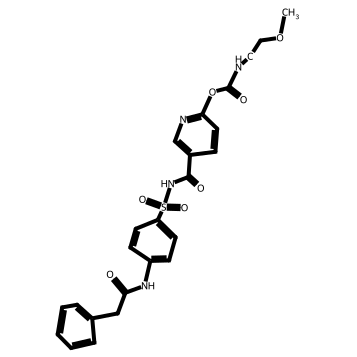 COCCNC(=O)Oc1ccc(C(=O)NS(=O)(=O)c2ccc(NC(=O)Cc3ccccc3)cc2)cn1